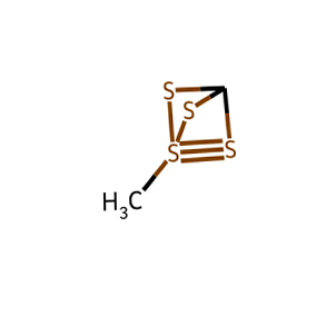 CS12#SC(S1)S2